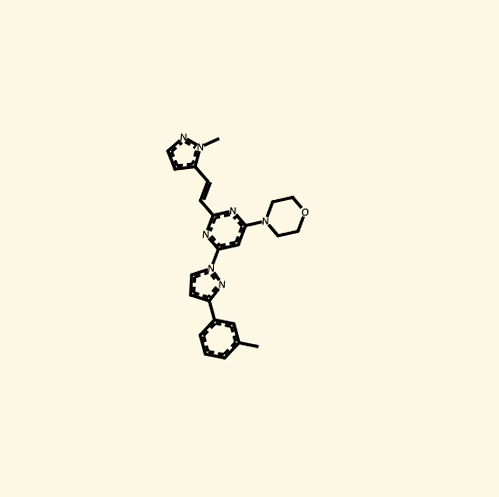 Cc1cccc(-c2ccn(-c3cc(N4CCOCC4)nc(/C=C/c4ccnn4C)n3)n2)c1